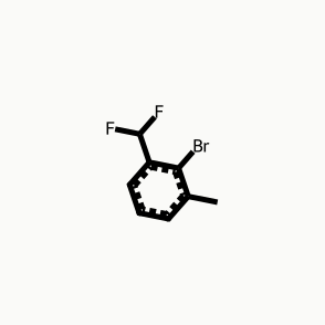 Cc1cccc(C(F)F)c1Br